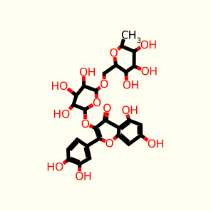 CC1OC(COC2OC(Oc3c(-c4ccc(O)c(O)c4)oc4cc(O)cc(O)c4c3=O)C(O)C(O)C2O)C(O)C(O)C1O